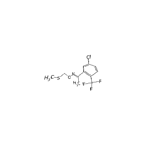 CSCO/N=C(\C)c1cc(Cl)ccc1C(F)(F)F